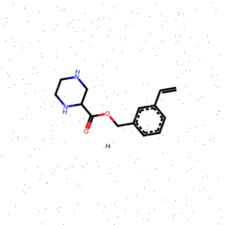 C=Cc1cccc(COC(=O)C2CNCCN2)c1.[H]